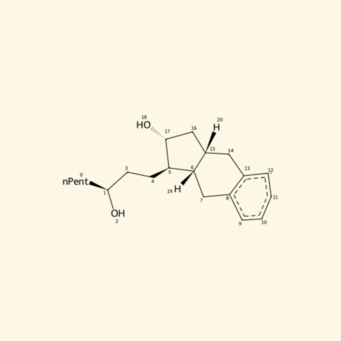 CCCCC[C@H](O)CC[C@@H]1[C@H]2Cc3ccc[c]c3C[C@H]2C[C@H]1O